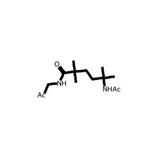 CC(=O)CNC(=O)C(C)(C)CCC(C)(C)NC(C)=O